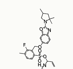 C=CC(N)OS(=O)(=O)c1ccc(C)c(F)c1COc1ccc2nc(N3CC(C)CC3(C)C)oc2c1